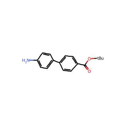 CC(C)(C)OC(=O)c1ccc(-c2ccc(N)cc2)cc1